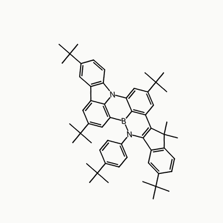 CC(C)(C)c1ccc(N2B3c4c(cc(C(C)(C)C)cc4-n4c5ccc(C(C)(C)C)cc5c5cc(C(C)(C)C)cc3c54)C3=C2c2cc(C(C)(C)C)ccc2C3(C)C)cc1